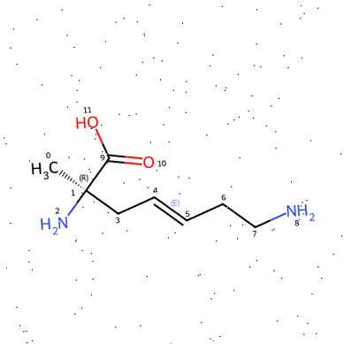 C[C@@](N)(C/C=C/CCN)C(=O)O